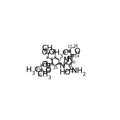 COC(=O)Cc1ccc(Nc2nn([C@H]3COCC[C@@H]3C)cc2C(N)=O)cc1B1OCC(C)(C)CO1